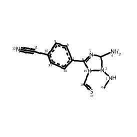 CNN1C(N)N=C(c2ccc(C#N)cc2)N1C=S